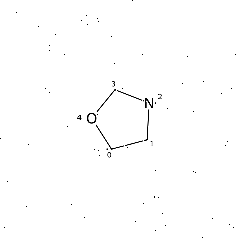 [CH]1C[N]CO1